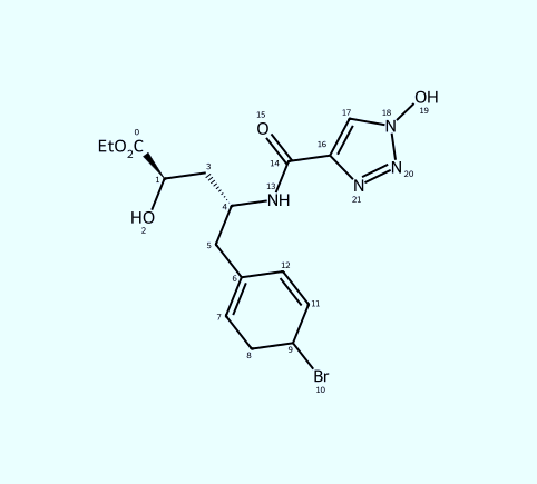 CCOC(=O)[C@H](O)C[C@@H](CC1=CCC(Br)C=C1)NC(=O)c1cn(O)nn1